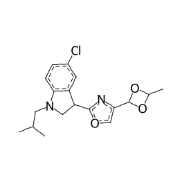 CC(C)CN1CC(c2nc(C3OC(C)O3)co2)c2cc(Cl)ccc21